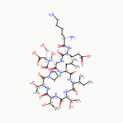 CC[C@H](C)[C@H](NC(=O)[C@H](CC(C)C)NC(=O)[C@H](CO)NC(=O)[C@H](CCC(=O)O)NC(=O)[C@@H](N)CCCCN)C(=O)N[C@H](C(=O)N[C@H](C(=O)N[C@H](C(=O)N1CCC[C@H]1C(=O)N[C@@H](CO)C(=O)O)[C@@H](C)O)[C@@H](C)O)[C@@H](C)O